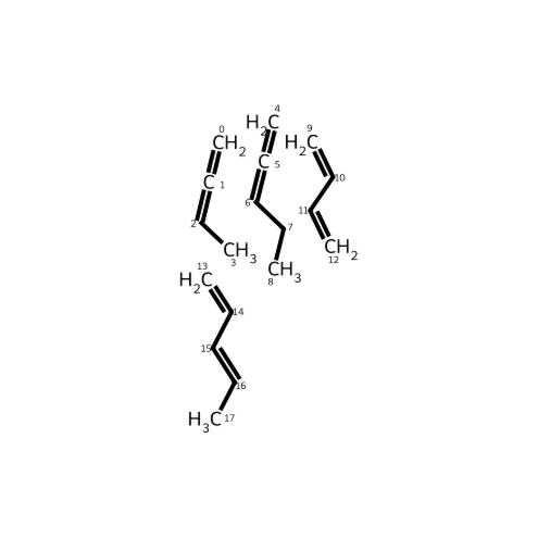 C=C=CC.C=C=CCC.C=CC=C.C=CC=CC